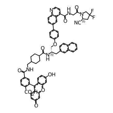 N#C[C@@H]1CC(F)(F)CN1C(=O)CNC(=O)c1ccnc2ccc(-c3ccc(OC[C@H](Cc4ccc5ccccc5c4)NC(=O)C4CCC(CNC(=O)c5ccc(C(=O)O)c(-c6c7ccc(=O)cc-7oc7cc(O)ccc67)c5)CC4)cc3)cc12